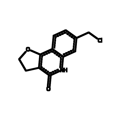 O=c1[nH]c2cc(CCl)ccc2c2c1CCO2